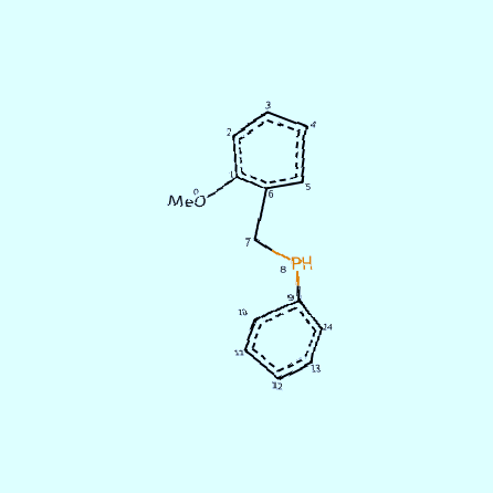 COc1ccccc1CPc1ccccc1